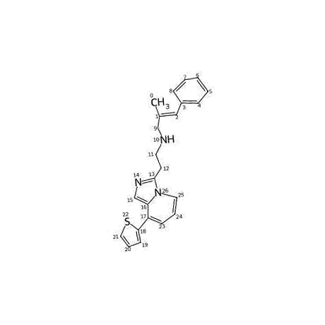 CC(=Cc1ccccc1)CNCCc1ncc2c(-c3cccs3)cccn12